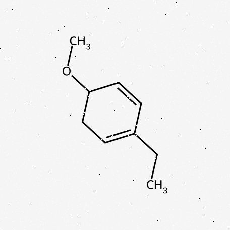 CCC1=CCC(OC)C=C1